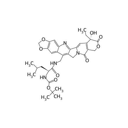 CC[C@@]1(O)C(=O)OCc2c1cc1n(c2=O)Cc2c-1nc1cc3c(cc1c2CNC(=O)[C@H](CC(C)C)NC(=O)OC(C)(C)C)OCO3